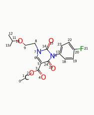 CCOC(=O)c1cn(CCOC(C)C)c(=O)n(-c2ccc(F)cc2)c1=O